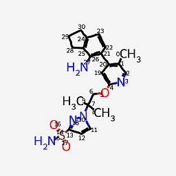 Cc1cnc(OCC(C)(C)n2ccc(S(N)(=O)=O)n2)cc1-c1ccc2c(c1N)CCC2